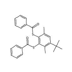 Cc1cc(C(C)(C)C)c(C)c(SC(=O)c2ccccc2)c1SC(=O)c1ccccc1